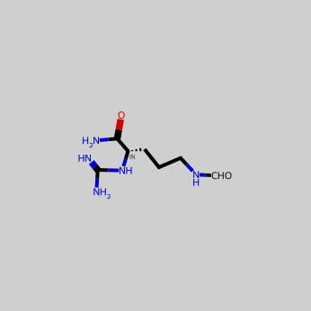 N=C(N)N[C@@H](CCCNC=O)C(N)=O